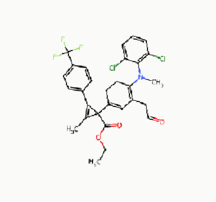 CCOC(=O)C1(C2=CC(CC=O)=C(N(C)c3c(Cl)cccc3Cl)CC2)C(C)=C1c1ccc(C(F)(F)F)cc1